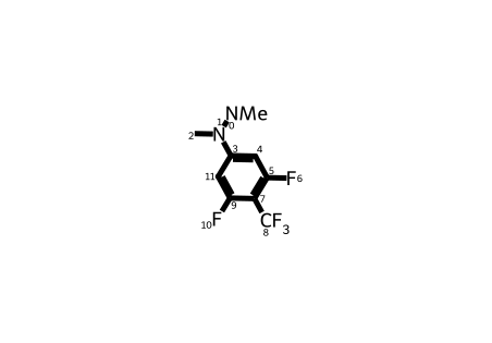 CNN(C)c1cc(F)c(C(F)(F)F)c(F)c1